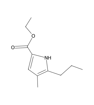 CCCc1[nH]c(C(=O)OCC)cc1C